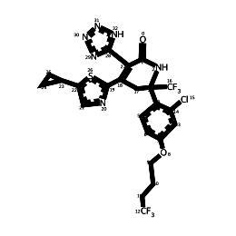 O=C1NC(c2ccc(OCCCC(F)(F)F)cc2Cl)(C(F)(F)F)CC(c2ncc(C3CC3)s2)=C1c1nnn[nH]1